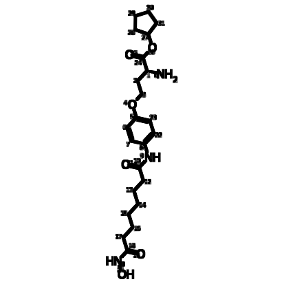 N[C@@H](CCOc1ccc(NC(=O)CCCCCCC(=O)NO)cc1)C(=O)OC1CCCC1